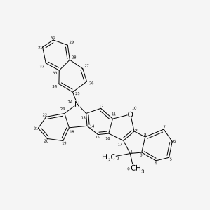 CC1(C)c2ccccc2-c2oc3cc4c(cc3c21)c1ccccc1n4-c1ccc2ccccc2c1